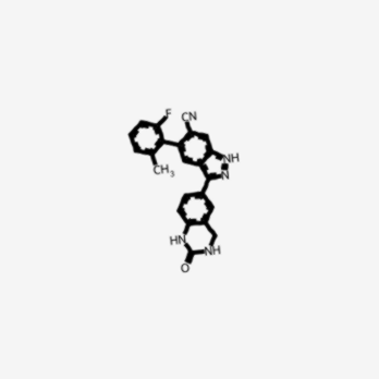 Cc1cccc(F)c1-c1cc2c(-c3ccc4c(c3)CNC(=O)N4)n[nH]c2cc1C#N